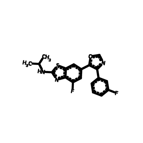 CC(C)Nc1nc2c(F)cc(-c3ocnc3-c3cccc(F)c3)cc2s1